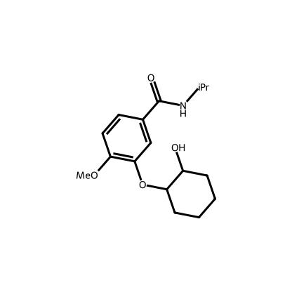 COc1ccc(C(=O)NC(C)C)cc1OC1CCCCC1O